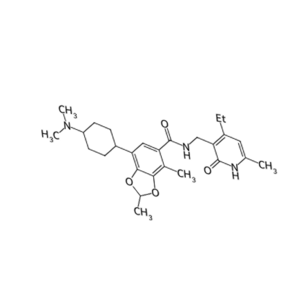 CCc1cc(C)[nH]c(=O)c1CNC(=O)c1cc(C2CCC(N(C)C)CC2)c2c(c1C)OC(C)O2